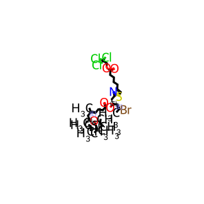 C/C(Br)=C\[C@H](Cc1nc(CCCCC(=O)OCC(Cl)(Cl)Cl)cs1)OC(=O)CC/C=C(\C)C[C@H](C)O[Si](C(C)C)(C(C)C)C(C)C